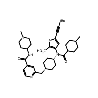 CC1CCC(C(=O)N(c2cc(C#CC(C)(C)C)sc2C(=O)O)[C@H]2CC[C@H](Cc3cc(C(=O)NC4CCN(C)CC4)ccn3)CC2)CC1